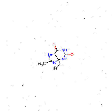 CC1=NC2(CC(C)C)NC(=O)NC(=O)C2=N1